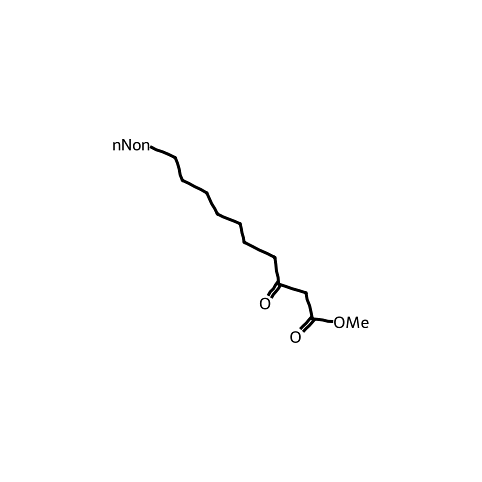 CCCCCCCCCCCCCCCCC(=O)CC(=O)OC